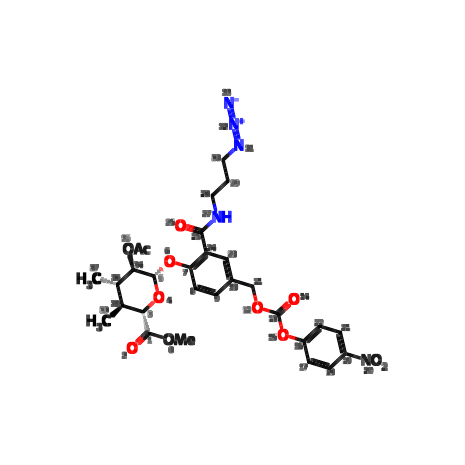 COC(=O)[C@H]1O[C@@H](Oc2ccc(COC(=O)Oc3ccc([N+](=O)[O-])cc3)cc2C(=O)NCCCN=[N+]=[N-])[C@H](OC(C)=O)[C@@H](C)[C@@H]1C